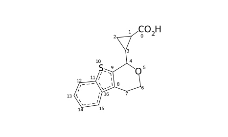 O=C(O)C1CC1C1OCCc2c1sc1ccccc21